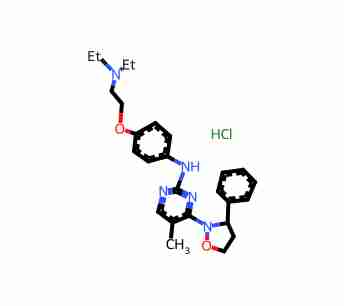 CCN(CC)CCOc1ccc(Nc2ncc(C)c(N3OCCC3c3ccccc3)n2)cc1.Cl